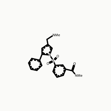 CNCc1cc(-c2ccccc2)n(S(=O)(=O)c2cccc(C(=O)NC)c2)c1